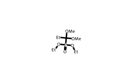 CCOP(=O)(OCC)C(CC)(OC)OC